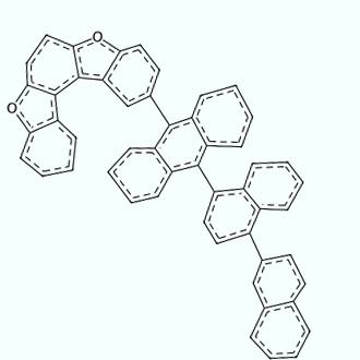 c1ccc2cc(-c3ccc(-c4c5ccccc5c(-c5ccc6oc7ccc8oc9ccccc9c8c7c6c5)c5ccccc45)c4ccccc34)ccc2c1